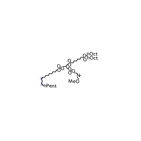 CCCCC/C=C\C/C=C\CCCCCCCCOC(=O)OCC(COC(=O)CCCCCCC(=O)OC(CCCCCCCC)CCCCCCCC)COC(=O)OCCN(C)CCOC